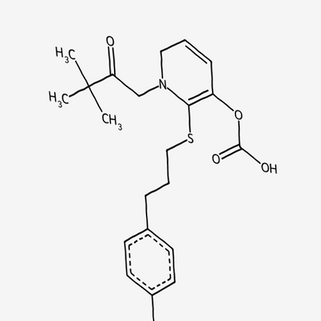 CC(C)(C)C(=O)CN1CC=CC(OC(=O)O)=C1SCCCc1ccc(F)cc1